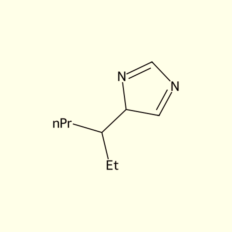 CCCC(CC)C1C=NC=N1